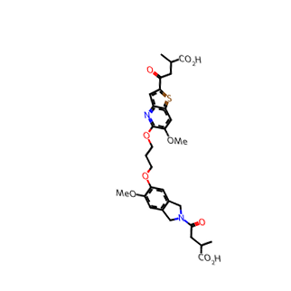 COc1cc2c(cc1OCCCOc1nc3cc(C(=O)CC(C)C(=O)O)sc3cc1OC)CN(C(=O)CC(C)C(=O)O)C2